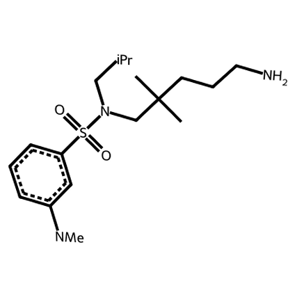 CNc1cccc(S(=O)(=O)N(CC(C)C)CC(C)(C)CCCN)c1